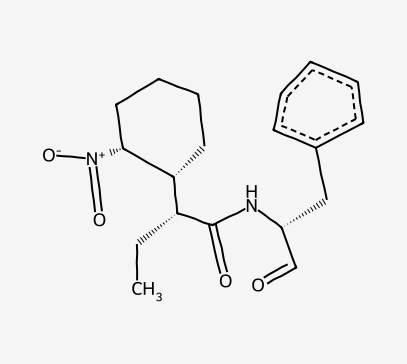 CC[C@@H](C(=O)N[C@@H](C=O)Cc1ccccc1)[C@H]1CCCC[C@H]1[N+](=O)[O-]